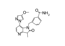 COc1cnn(-c2ccnc3c2N(Cc2cccc(C(N)=O)c2)C(=O)C3C)c1